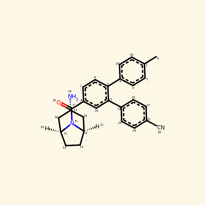 Cc1ccc(-c2ccc(C(=O)N3[C@@H]4CC[C@H]3C[C@H](N)C4)cc2-c2ccc(C#N)cc2)cc1